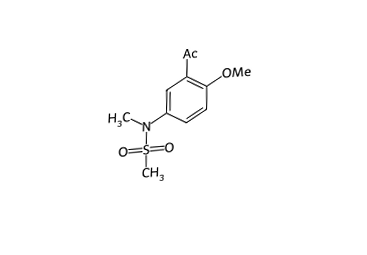 COc1ccc(N(C)S(C)(=O)=O)cc1C(C)=O